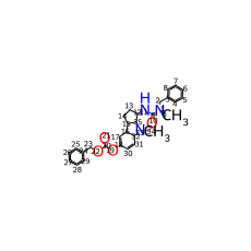 CN(Cc1ccccc1)C(=O)NC1CCC2C3C=C(OC(=O)OCc4ccccc4)C=CC3N(C)C12